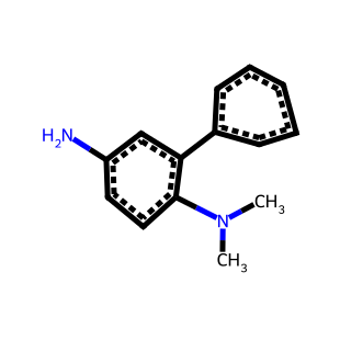 CN(C)c1ccc(N)cc1-c1ccccc1